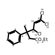 CCOC(=O)CC(C)(c1ccccc1)C(Cl)C=C(Cl)Cl